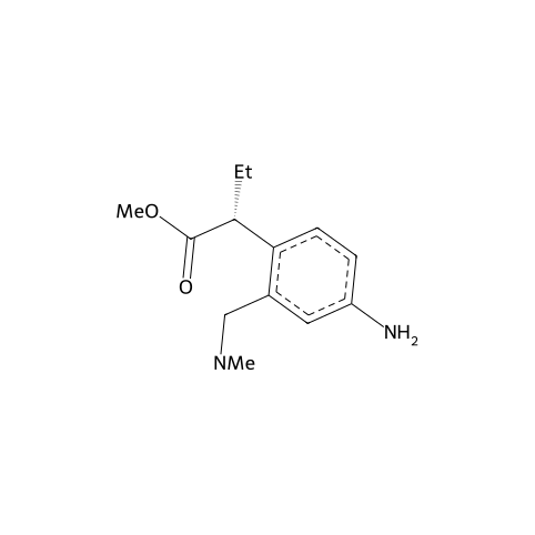 CC[C@@H](C(=O)OC)c1ccc(N)cc1CNC